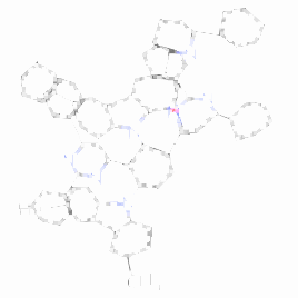 Cc1ccc2c(c1)c1cc(C)ccc1n2-c1ccc(-c2cc(-c3ccccc3)nc(-c3ccccc3)n2)c(-n2c3ccc(-c4ccccc4)cc3c3cc(-c4cccc(-c5ccccc5)n4)ccc32)c1-c1cc(-c2ccccc2)nc(-c2ccccc2)n1